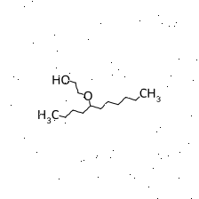 CCCCCCC(CCCC)OCCO